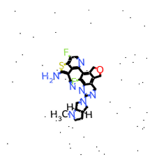 CN1CC[C@@H]2CN(c3ncc4c5c(c(-c6ncc(F)c7sc(N)c(C#N)c67)c(F)c4n3)COC5)C[C@@H]21